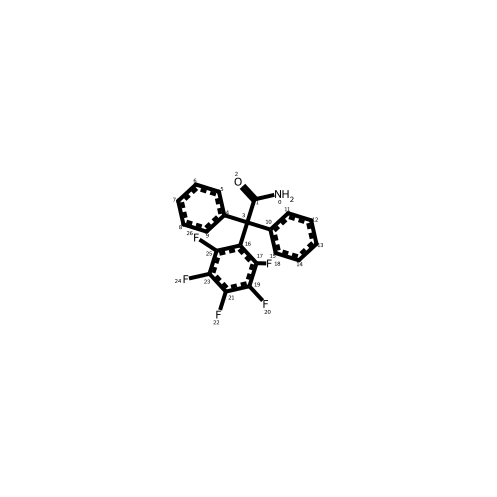 NC(=O)C(c1ccccc1)(c1ccccc1)c1c(F)c(F)c(F)c(F)c1F